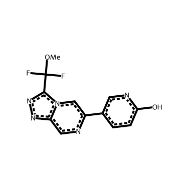 COC(F)(F)c1nnc2cnc(-c3ccc(O)nc3)cn12